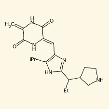 C=c1[nH]c(=O)c(=Cc2nc(C(CC)C3CCNC3)[nH]c2C(C)C)[nH]c1=O